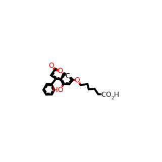 O=C(O)CCCCCOc1cc(O)c2c(-c3ccccc3)cc(=O)oc2c1